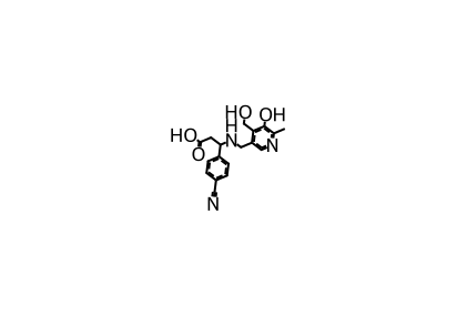 Cc1ncc(CNC(CC(=O)O)c2ccc(C#N)cc2)c(CO)c1O